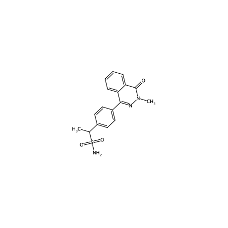 CC(c1ccc(-c2nn(C)c(=O)c3ccccc23)cc1)S(N)(=O)=O